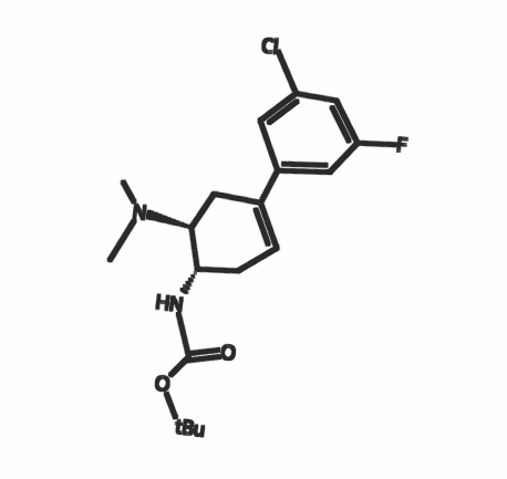 CN(C)[C@H]1CC(c2cc(F)cc(Cl)c2)=CC[C@@H]1NC(=O)OC(C)(C)C